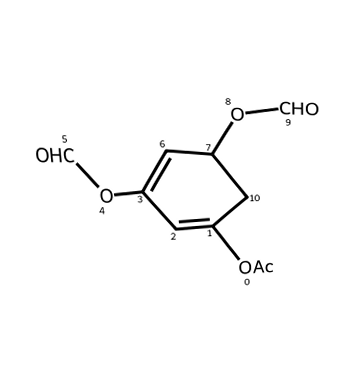 CC(=O)OC1=CC(OC=O)=CC(OC=O)C1